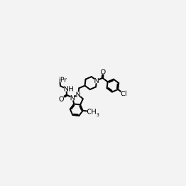 Cc1cccc2c1CN(CC1CCN(C(=O)c3ccc(Cl)cc3)CC1)N2C(=O)NCC(C)C